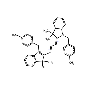 Cc1ccc(CN2/C(=C/C=C/C3=[N+](Cc4ccc(C)cc4)c4ccccc4C3(C)C)C(C)(C)C3C=CC=CC32)cc1